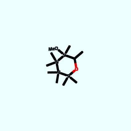 CO[Si]1(C)C(C)O[Si](C)(C)[Si](C)(C)[Si]1(C)C